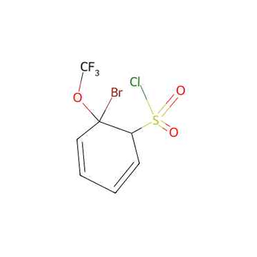 O=S(=O)(Cl)C1C=CC=CC1(Br)OC(F)(F)F